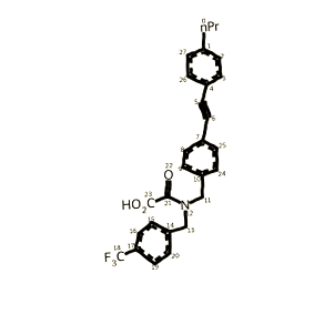 CCCc1ccc(C#Cc2ccc(CN(Cc3ccc(C(F)(F)F)cc3)C(=O)C(=O)O)cc2)cc1